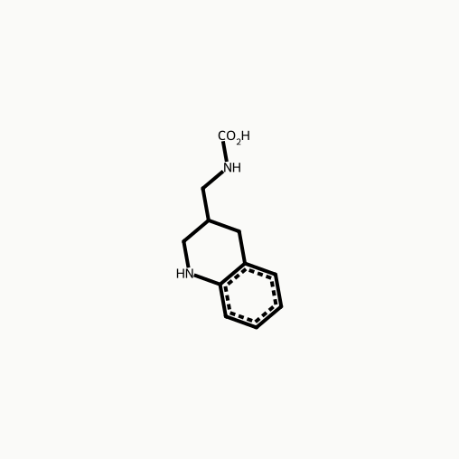 O=C(O)NCC1CNc2ccccc2C1